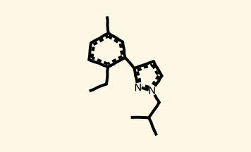 CCc1ccc(C)cc1-c1ccn(CC(C)C)n1